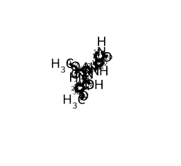 CCOC(=O)c1cnc(Nc2ccc3c(c2)CCNC3=O)nc1N[C@H](CO)c1cccc(OC)c1